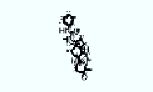 CC1C(=O)CC[C@]2(C)[C@H]3CC[C@]4(C)C(NC(=O)Nc5ccccc5)CC[C@H]4[C@@H]3CCN12